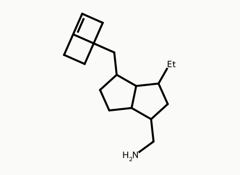 CCC1CC(CN)C2CCC(CC34CC=C3CC4)C12